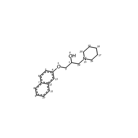 OC(COc1ccc2ccccc2c1)CN1CCCCC1